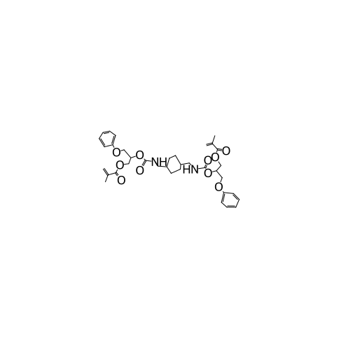 C=C(C)C(=O)OCC(COc1ccccc1)OC(=O)NCC1CCC(CNC(=O)OC(COC(=O)C(=C)C)COc2ccccc2)CC1